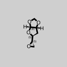 C1O[C@H]2O[C@H]([C@@H]3CO3)C[C@H]2O1